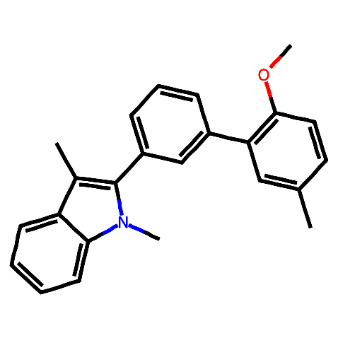 COc1ccc(C)cc1-c1cccc(-c2c(C)c3ccccc3n2C)c1